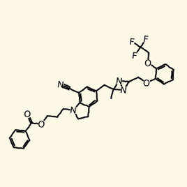 CC1(Cc2cc(C#N)c3c(c2)CCN3CCCOC(=O)c2ccccc2)N2C(COc3ccccc3OCC(F)(F)F)N21